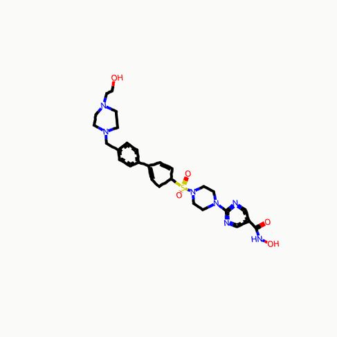 O=C(NO)c1cnc(N2CCN(S(=O)(=O)C3C=CC(c4ccc(CN5CCN(CCO)CC5)cc4)=CC3)CC2)nc1